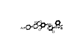 CC(=O)N1CCC(N2CCN3c4c(Cl)cc(Nc5ncc(Cl)c(Nc6ccccc6P(C)(C)=O)n5)cc4OC[C@@H]3C2)CC1